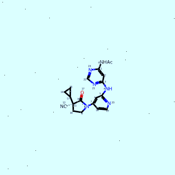 CC(=O)Nc1cc(Nc2cc(N3CC[C@@](C#N)(C4CC4)C3=O)ccn2)ncn1